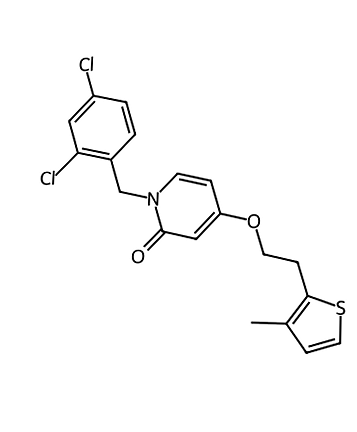 Cc1ccsc1CCOc1ccn(Cc2ccc(Cl)cc2Cl)c(=O)c1